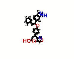 O=C(O)CC(c1ccc(OC(Cc2ccccc2)c2ccc3cn[nH]c3c2)cc1)c1ccon1